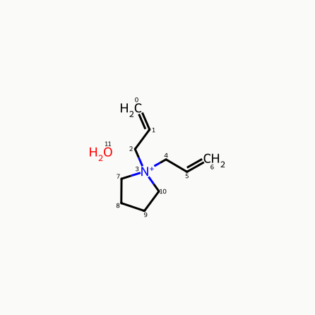 C=CC[N+]1(CC=C)CCCC1.O